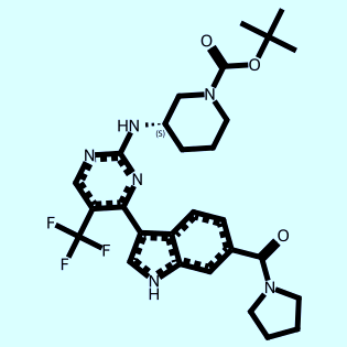 CC(C)(C)OC(=O)N1CCC[C@H](Nc2ncc(C(F)(F)F)c(-c3c[nH]c4cc(C(=O)N5CCCC5)ccc34)n2)C1